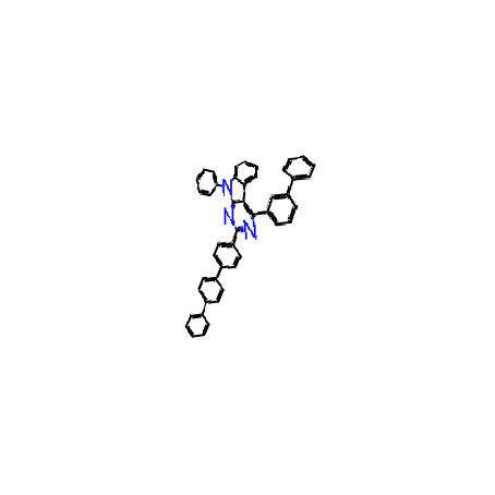 c1ccc(-c2ccc(-c3ccc(-c4nc(-c5cccc(-c6ccccc6)c5)c5c6ccccc6n(-c6ccccc6)c5n4)cc3)cc2)cc1